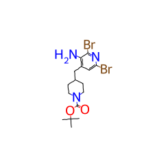 CC(C)(C)OC(=O)N1CCC(Cc2cc(Br)nc(Br)c2N)CC1